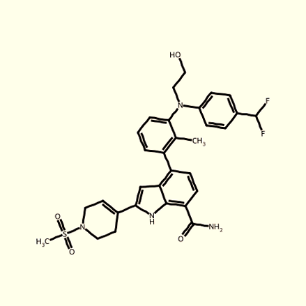 Cc1c(-c2ccc(C(N)=O)c3[nH]c(C4=CCN(S(C)(=O)=O)CC4)cc23)cccc1N(CCO)c1ccc(C(F)F)cc1